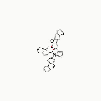 c1ccc(N(c2ccc3c(ccc4ccccc43)c2)c2cccc3c2ccc2ccccc23)c(-c2ccc3oc4cc5ccccc5cc4c3c2)c1